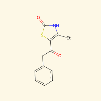 CCc1[nH]c(=O)sc1C(=O)Cc1ccccc1